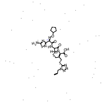 C=CCn1nnnc1SCC1=C(C(=O)O)N2C(=O)C(NC(=O)/C(=N\OC3CCCC3)c3nsc(N)n3)[C@H]2SC1